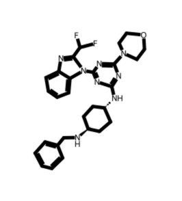 FC(F)c1nc2ccccc2n1-c1nc(N[C@H]2CC[C@H](NCc3ccccc3)CC2)nc(N2CCOCC2)n1